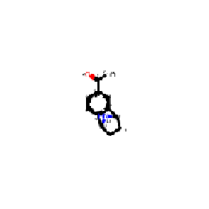 CCCC(=O)c1ccc2c(c1)C1CCC2N1